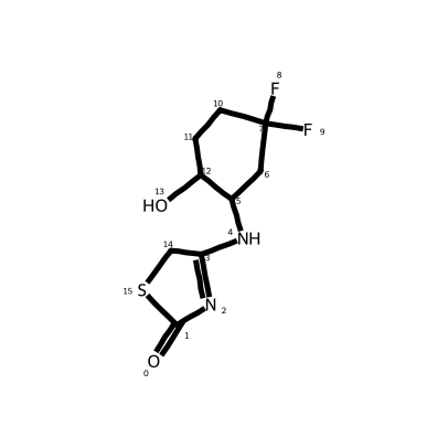 O=C1N=C(NC2CC(F)(F)CCC2O)CS1